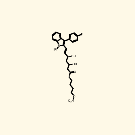 CC(C)n1c(/C=C/[C@@H](O)C[C@@H](O)CC(=O)OCCCCO[N+](=O)[O-])c(-c2ccc(F)cc2)c2ccccc21